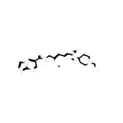 C=N/C(=C\C=C\S(=O)(=O)C1CCN(CC(F)(F)F)CC1)CNC(=O)c1cnc2nccn2c1